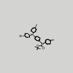 Cc1ccc(N(C(=O)OC(C)(C)C)c2ccc(N(c3ccc(C)cc3)c3ccc(Br)cc3)cc2)cc1